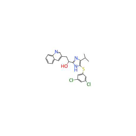 CC(C)c1nc(C(O)Cc2cnc3ccccc3c2)[nH]c1Sc1cc(Cl)cc(Cl)c1